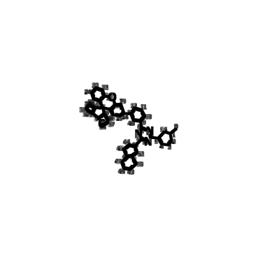 CC1C=CC=C(c2nc(-c3cccc(-c4ccc5c(c4)Oc4ccccc4C54c5ccccc5-c5ccccc54)c3)nc(-c3ccc4ccccc4c3)n2)C1